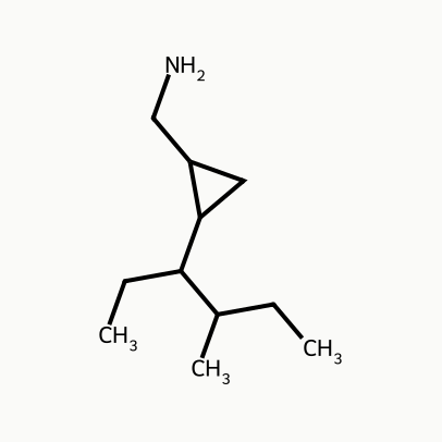 CCC(C)C(CC)C1CC1CN